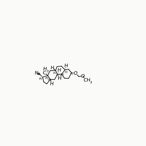 COCO[C@@H]1CC[C@H]2[C@@H](CC[C@H]3C[C@]4(C)[C@@H](CC[C@H]4C#N)C[C@@H]32)C1